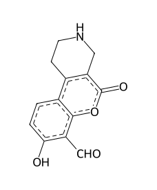 O=Cc1c(O)ccc2c3c(c(=O)oc12)CNCC3